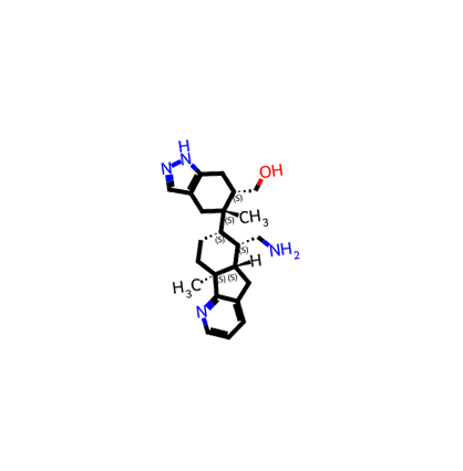 C[C@@]1([C@H]2CC[C@]3(C)c4ncccc4C[C@H]3[C@H]2CN)Cc2cn[nH]c2C[C@@H]1CO